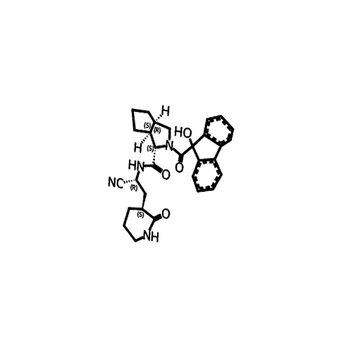 N#C[C@@H](C[C@@H]1CCCNC1=O)NC(=O)[C@@H]1[C@H]2CCC[C@H]2CN1C(=O)C1(O)c2ccccc2-c2ccccc21